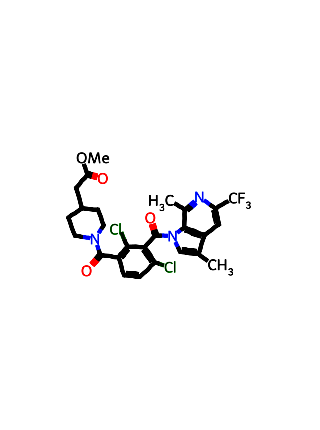 COC(=O)CC1CCN(C(=O)c2ccc(Cl)c(C(=O)n3cc(C)c4cc(C(F)(F)F)nc(C)c43)c2Cl)CC1